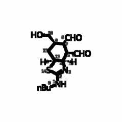 CCCCNC1=N[C@@H]2[C@H](C=O)[C@H](C=O)[C@H](CO)C[C@@H]2S1